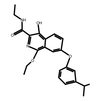 CCNC(=O)c1nc(OCC)c2cc(Oc3cccc(C(C)C)c3)ccc2c1O